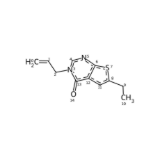 C=CCn1cnc2sc(CC)cc2c1=O